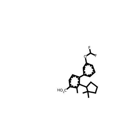 Cc1c(C(=O)O)ccc(-c2cccc(OC(F)F)c2)c1C1CCCC1(C)C